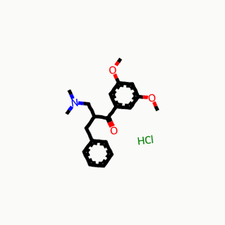 COc1cc(OC)cc(C(=O)C(Cc2ccccc2)CN(C)C)c1.Cl